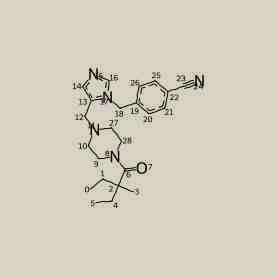 CCC(C)(CC)C(=O)N1CCN(Cc2cncn2Cc2ccc(C#N)cc2)CC1